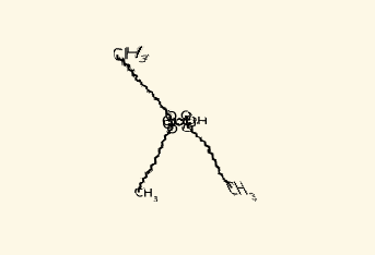 CCCCCCCCCCCCCCCCCCCCOC(=O)c1cc(C(=O)OCCCCCCCCCCCCCCCCCCCC)c(C(=O)OCCCCCCCCCCCCCCCCCCCC)cc1C(=O)O